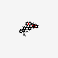 CC1(C)c2ccccc2-c2ccc(N(c3ccccc3)c3cccc(-c4ccc5ccccc5c4)c3-c3cccc4oc5ccccc5c34)cc21